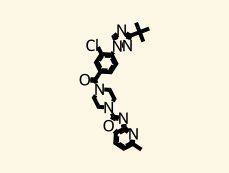 Cc1ccc2oc(N3CCN(C(=O)c4ccc(-n5cnc(C(C)(C)C)n5)c(Cl)c4)CC3)nc2n1